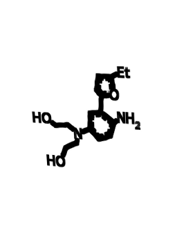 CCc1ccc(-c2cc(N(CCO)CCO)ccc2N)o1